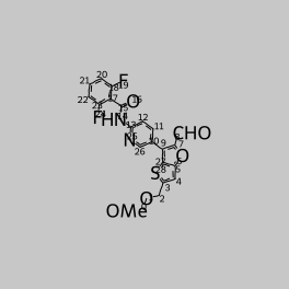 COOCc1cc2oc(C=O)c(-c3ccc(NC(=O)c4c(F)cccc4F)nc3)c2s1